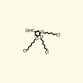 O=Cc1cc(OCCCCCCCl)c(OCCCCCCCl)c(OCCCCCCCl)c1